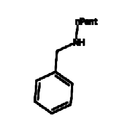 [CH2]CCCCNCc1ccccc1